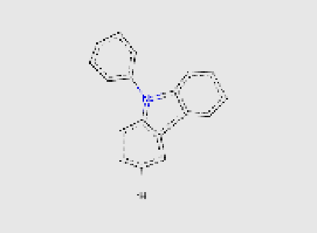 [2H]c1ccc2c(c1)c1ccccc1n2-c1ccccc1